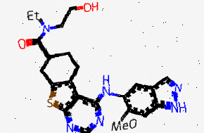 CCN(CCO)C(=O)C1CCc2c(sc3ncnc(Nc4cc5cn[nH]c5cc4OC)c23)C1